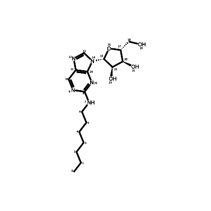 CCCCCCCNc1ncc2ncn([C@@H]3O[C@H](CO)[C@@H](O)[C@H]3O)c2n1